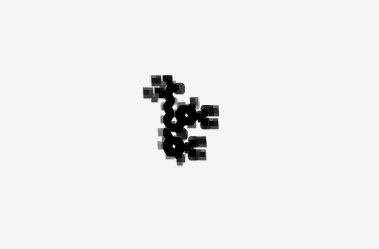 NC(=O)C(N)CCCCN(Cc1ccc(F)c(B(O)O)c1)C(=O)c1ccc(F)c(B(O)O)c1